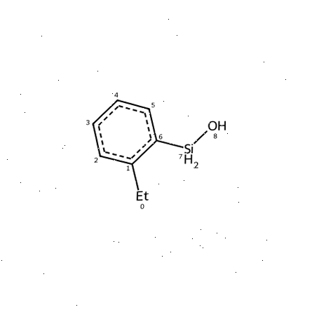 CCc1ccccc1[SiH2]O